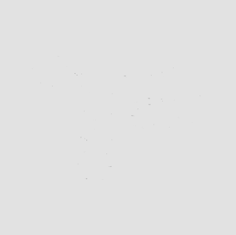 C[Si]1(C)c2ccccc2C2(c3ccccc3-c3ccc(-c4cc(-c5nc6ccccc6o5)cc(-c5nc6ccccc6o5)c4)cc32)c2ccccc21